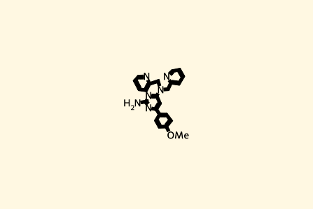 COc1ccc(-c2cc(N(Cc3ccccn3)Cc3ccccn3)nc(N)n2)cc1